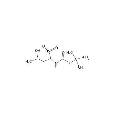 CC(O)CC(NC(=O)OC(C)(C)C)[SH](=O)=O